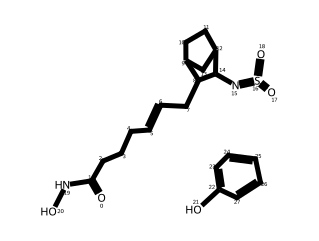 O=C(CCCC=CCC1C2CCC(C2)C1N=S(=O)=O)NO.Oc1ccccc1